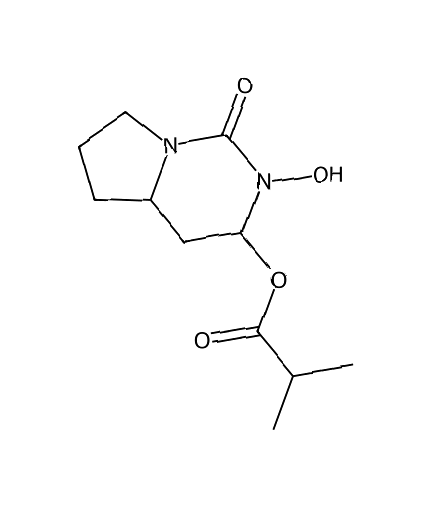 CC(C)C(=O)OC1CC2CCCN2C(=O)N1O